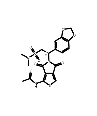 CC(=O)Nc1scc2c1C(=O)N([C@@H](CS(=O)(=O)N(C)C)c1ccc3c(c1)OCO3)C2=O